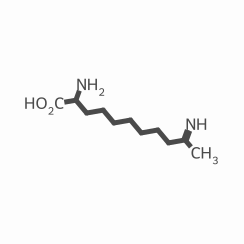 CC(=N)CCCCCCCC(N)C(=O)O